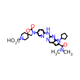 CN(C)C(=O)c1cc2cnc(Nc3ccc(N4CC5(CCN(C(=O)O)CC5)OC4=O)cn3)nc2n1C1CCCC1